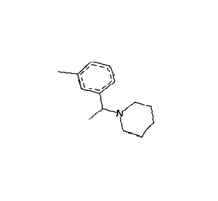 Cc1cccc(C(C)N2CCCCC2)c1